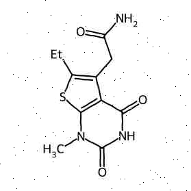 CCc1sc2c(c1CC(N)=O)c(=O)[nH]c(=O)n2C